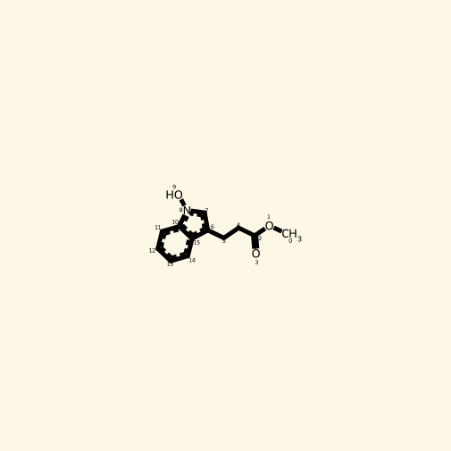 COC(=O)CCc1cn(O)c2ccccc12